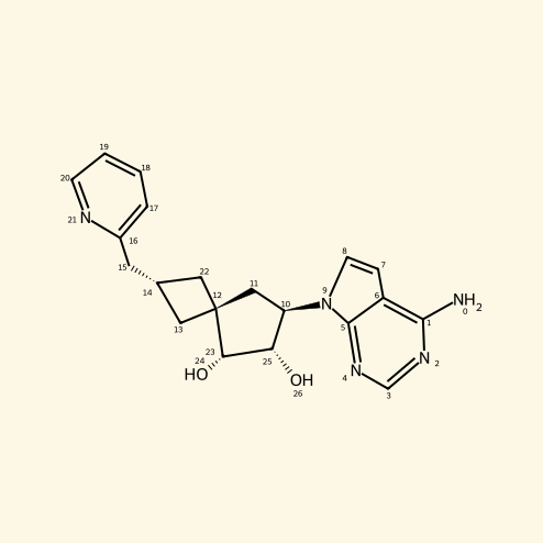 Nc1ncnc2c1ccn2[C@@H]1C[C@]2(C[C@H](Cc3ccccn3)C2)[C@@H](O)[C@H]1O